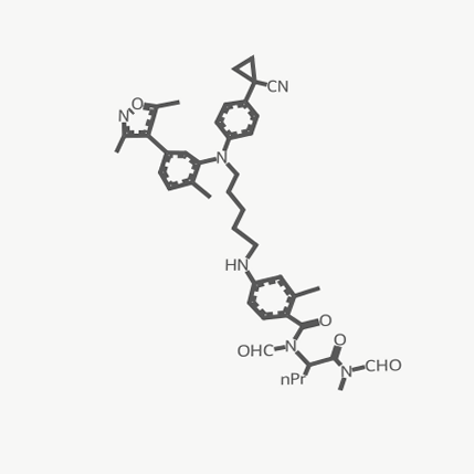 CCCC(C(=O)N(C)C=O)N(C=O)C(=O)c1ccc(NCCCCCN(c2ccc(C3(C#N)CC3)cc2)c2cc(-c3c(C)noc3C)ccc2C)cc1C